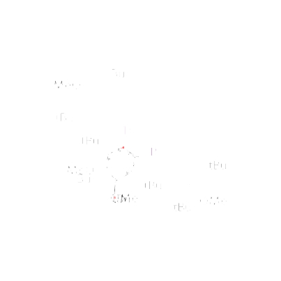 COc1c(C(C)(C)C)cc(P(c2cc(C(C)(C)C)c(OC)c(C(C)(C)C)c2)C2CC3=CCCCC3CC2P(c2cc(C(C)(C)C)c(OC)c(C(C)(C)C)c2)c2cc(C(C)(C)C)c(OC)c(C(C)(C)C)c2)cc1C(C)(C)C